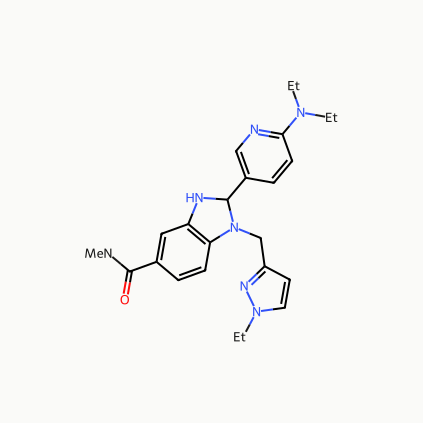 CCN(CC)c1ccc(C2Nc3cc(C(=O)NC)ccc3N2Cc2ccn(CC)n2)cn1